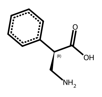 NC[C@H](C(=O)O)c1ccccc1